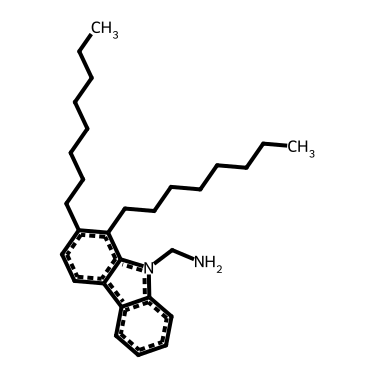 CCCCCCCCc1ccc2c3ccccc3n(CN)c2c1CCCCCCCC